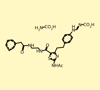 CC(=O)Nc1nc(CCc2ccc(NC=NC(=O)O)cc2)c(C(=O)NCCNC(=O)Cc2ccccc2)s1.NC(=O)O